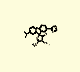 CN1C(=O)C(c2cc(C(F)F)ccn2)(c2cc(-c3cnco3)ccc2F)N=C1N